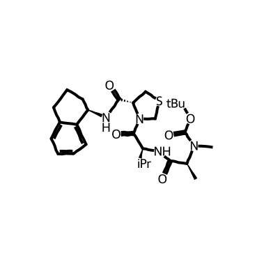 CC(C)[C@H](NC(=O)[C@H](C)N(C)C(=O)OC(C)(C)C)C(=O)N1CSC[C@H]1C(=O)N[C@@H]1CCCc2ccccc21